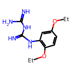 CCOc1ccc(OCC)c(NC(=N)NC(=N)N)c1